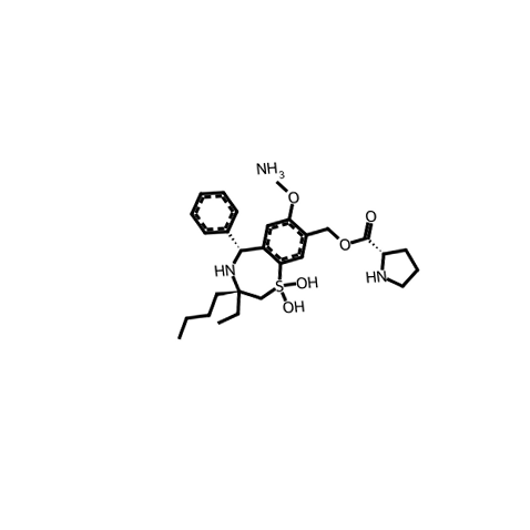 CCCC[C@]1(CC)CS(O)(O)c2cc(COC(=O)[C@@H]3CCCN3)c(OC)cc2[C@@H](c2ccccc2)N1.N